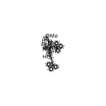 COC(=O)CNC(=O)[C@H](NC(=O)[C@@H](CSC(c1ccccc1)(c1ccccc1)c1ccccc1)NC(=O)[C@@H](Cc1cscn1)NC(=O)C[C@H](O)/C=C/CCSC(c1ccccc1)(c1ccccc1)c1ccccc1)C(C)C